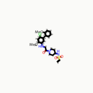 C=CS(=O)(=O)NC1CCN(C(=O)CNc2cc(-c3ccccc3OC)c(Cl)cc2OC)CC1